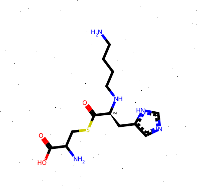 NCCCCN[C@@H](Cc1cnc[nH]1)C(=O)SCC(N)C(=O)O